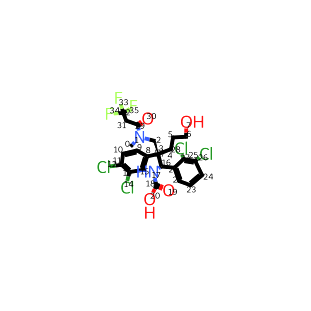 CN(C[C@](CCCO)(c1ccc(Cl)c(Cl)c1)C(NC(=O)O)c1cccc(Cl)c1Cl)C(=O)CC(F)(F)F